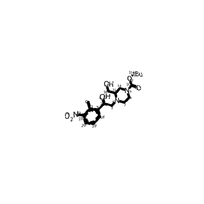 Cc1c(C(O)CN2CCN(C(=O)OC(C)(C)C)CC2CO)cccc1[N+](=O)[O-]